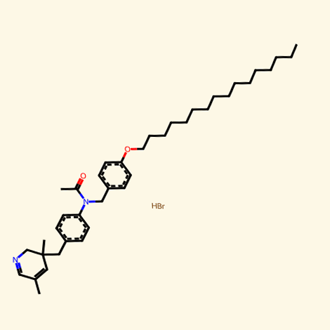 Br.CCCCCCCCCCCCCCCCOc1ccc(CN(C(C)=O)c2ccc(CC3(C)C=C(C)C=NC3)cc2)cc1